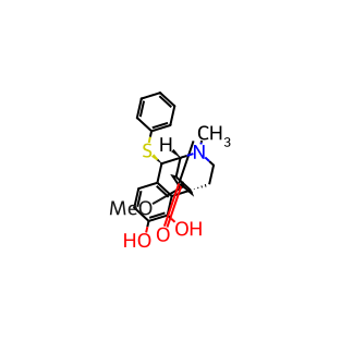 COC1=CC2[C@@H]3[C@H](Sc4ccccc4)c4ccc(O)c(O)c4[C@]2(CCN3C)CC1=O